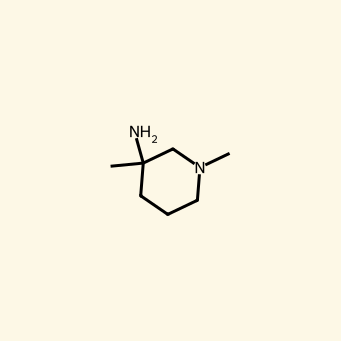 CN1CCCC(C)(N)C1